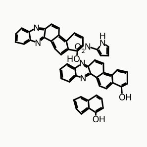 O=[N+]([O-])c1ccc[nH]1.Oc1cccc2c1ccc1c2ccc2nc3ccccc3nc21.Oc1cccc2c1ccc1c2ccc2nc3ccccc3nc21.Oc1cccc2ccccc12